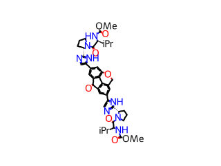 COC(=O)NC(C(=O)N1CCC[C@H]1c1ncc(-c2cc3c4c(c2)C(=O)c2cc(-c5cnc([C@@H]6CCCN6C(=O)[C@@H](NC(=O)OC)C(C)C)[nH]5)cc(c2-4)OC3)[nH]1)C(C)C